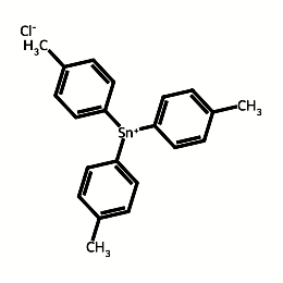 Cc1cc[c]([Sn+]([c]2ccc(C)cc2)[c]2ccc(C)cc2)cc1.[Cl-]